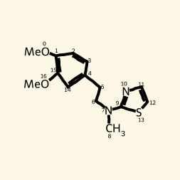 COc1ccc(CCN(C)c2nccs2)cc1OC